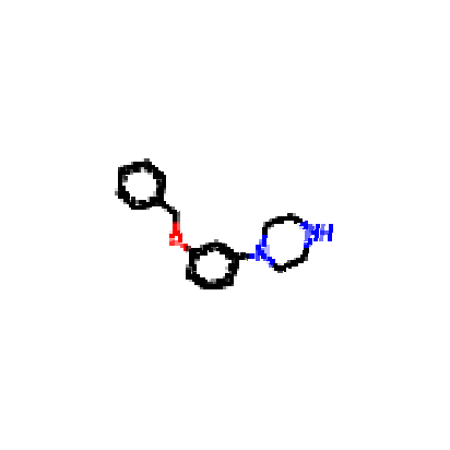 c1ccc(COc2cccc(N3CCNCC3)c2)cc1